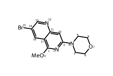 COc1nc(N2CCOCC2)cc2ncc(Br)cc12